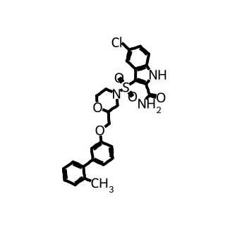 Cc1ccccc1-c1cccc(OCC2CN(S(=O)(=O)c3c(C(N)=O)[nH]c4ccc(Cl)cc34)CCO2)c1